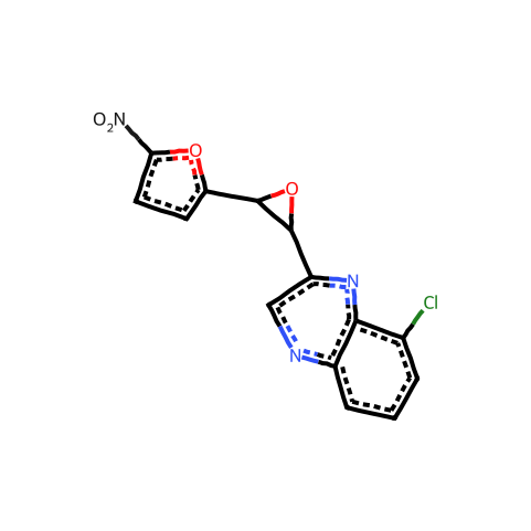 O=[N+]([O-])c1ccc(C2OC2c2cnc3cccc(Cl)c3n2)o1